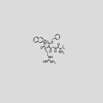 CC(C)[C@H](N)C(=O)NCC(=O)N(C(=O)OCc1ccccc1)[C@@H](CCCNC(=N)N)C(=O)Nc1ccc2ccccc2c1